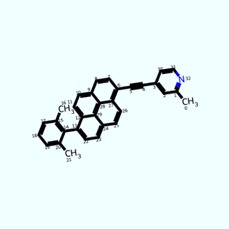 Cc1cc(C#Cc2ccc3ccc4c(-c5c(C)cccc5C)ccc5ccc2c3c54)ccn1